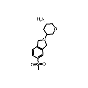 CS(=O)(=O)c1ccc2c(c1)CN(C1COC[C@@H](N)C1)C2